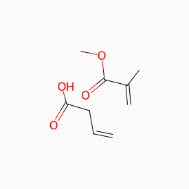 C=C(C)C(=O)OC.C=CCC(=O)O